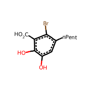 CCCCCc1cc(O)c(O)c(C(=O)O)c1Br